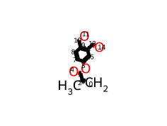 C=C(C)C(=O)Oc1ccc(C=O)c(C=O)c1